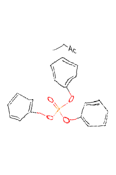 CC(C)=O.O=P(Oc1ccccc1)(Oc1ccccc1)Oc1ccccc1